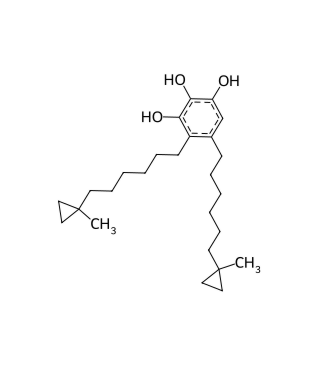 CC1(CCCCCCc2cc(O)c(O)c(O)c2CCCCCCC2(C)CC2)CC1